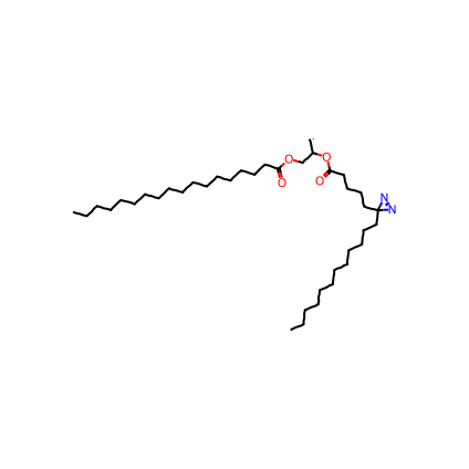 [CH2]C(COC(=O)CCCCCCCCCCCCCCCCC)OC(=O)CCCCC1(CCCCCCCCCCCC)N=N1